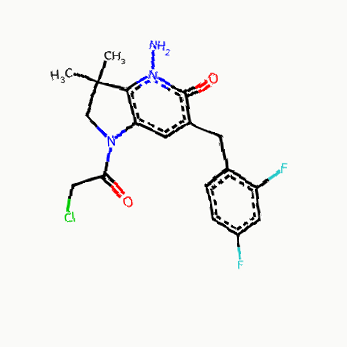 CC1(C)CN(C(=O)CCl)c2cc(Cc3ccc(F)cc3F)c(=O)n(N)c21